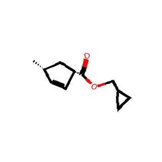 C[C@H]1C=C[C@@H](C(=O)OCC2CC2)C1